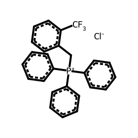 FC(F)(F)c1ccccc1C[P+](c1ccccc1)(c1ccccc1)c1ccccc1.[Cl-]